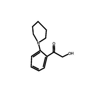 O=C(CO)c1ccccc1N1CCCCC1